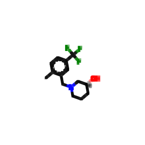 Cc1ccc(C(F)(F)F)cc1CN1CCC[C@@H](O)C1